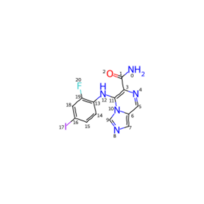 NC(=O)c1ncc2cncn2c1Nc1ccc(I)cc1F